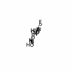 CN1C(=O)[C@@H](NC(=O)n2cc(Cc3cccc(F)c3)cn2)COc2ccc(OCc3cn(CC(C)(C)O)nn3)cc21